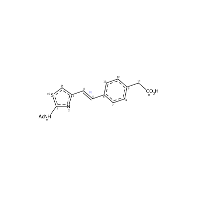 CC(=O)Nc1nc(/C=C/c2ccc(CC(=O)O)cc2)cs1